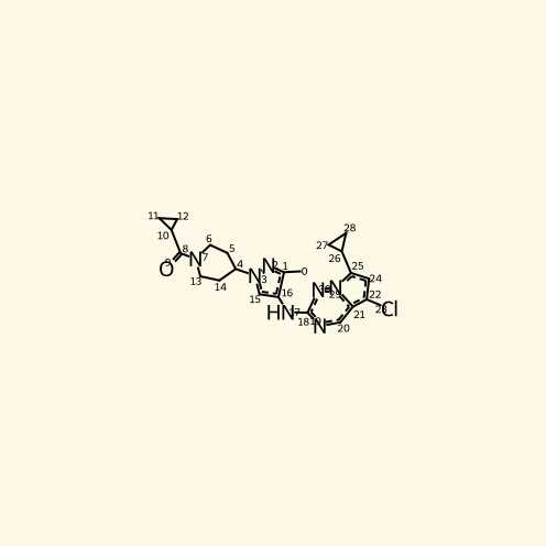 Cc1nn(C2CCN(C(=O)C3CC3)CC2)cc1Nc1ncc2c(Cl)cc(C3CC3)n2n1